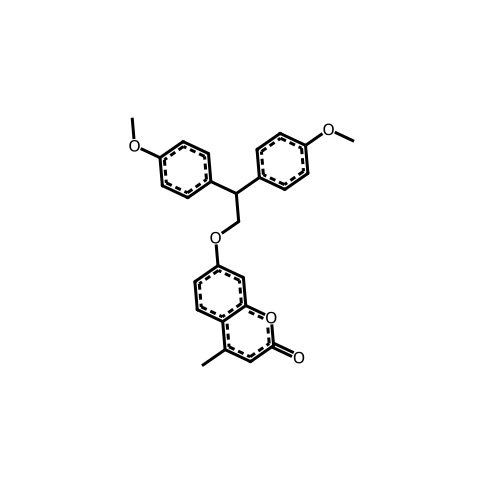 COc1ccc(C(COc2ccc3c(C)cc(=O)oc3c2)c2ccc(OC)cc2)cc1